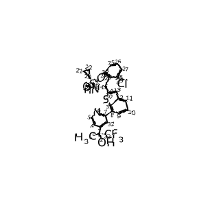 C[C@](O)(c1ccnc(-c2cccc3cc([C@H](NS(=O)(=O)C4CC4)c4ccccc4Cl)sc23)c1)C(F)(F)F